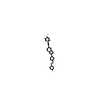 CCCCOc1cc(C)c(C#Cc2ccc3cc(-c4ccc(CCc5ccc(C)cc5)cc4)ccc3c2)cc1F